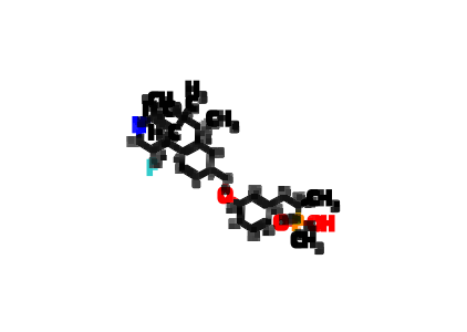 Cc1cc(-c2ccc(COc3cccc(C[C@@H](C)P(C)(=O)O)c3)cc2[C@@H](C)C(C)(C)C)c(F)cn1